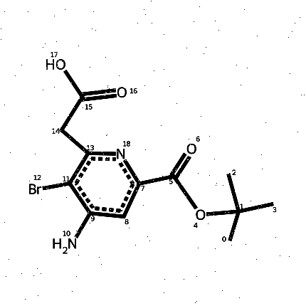 CC(C)(C)OC(=O)c1cc(N)c(Br)c(CC(=O)O)n1